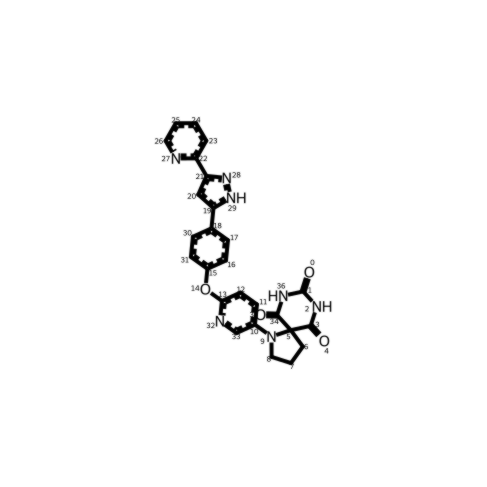 O=C1NC(=O)C2(CCCN2c2ccc(Oc3ccc(-c4cc(-c5ccccn5)n[nH]4)cc3)nc2)C(=O)N1